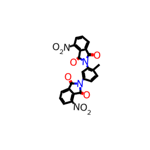 Cc1ccc(N2C(=O)c3cccc([N+](=O)[O-])c3C2=O)cc1N1C(=O)c2cccc([N+](=O)[O-])c2C1=O